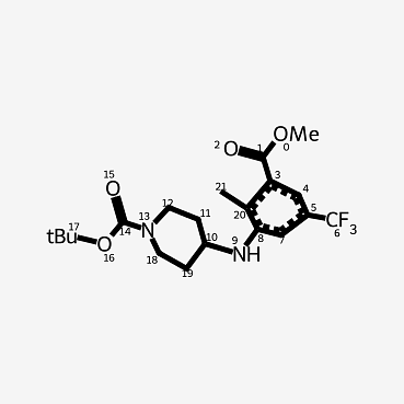 COC(=O)c1cc(C(F)(F)F)cc(NC2CCN(C(=O)OC(C)(C)C)CC2)c1C